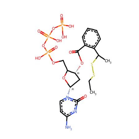 CCSSC(C)c1ccccc1C(=O)O[C@@H]1C[C@H](n2ccc(N)nc2=O)OC1COP(=O)(O)OP(=O)(O)OP(=O)(O)O